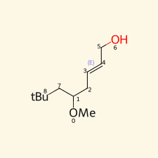 COC(C/C=C/CO)CC(C)(C)C